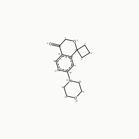 O=C1COC2(CCC2)c2cc(N3CCOCC3)ncc21